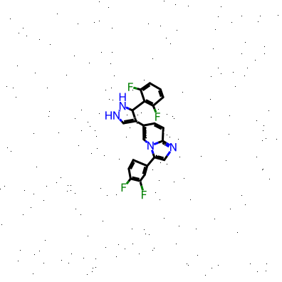 Fc1ccc(-c2cnc3ccc(C4=CNNC4c4c(F)cccc4F)cn23)cc1F